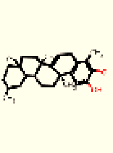 Cc1c(O)c(O)cc2c1CC=C1C3(C)CCC4(C)CCC(C)CC4C3CC[C@]12C